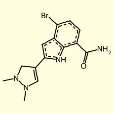 CN1C=C(c2cc3c(Br)ccc(C(N)=O)c3[nH]2)CN1C